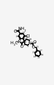 CN1C(=O)C2(CCN(C(=O)OCc3ccccc3)CC2)c2c(Cl)cc(C(N)=O)cc21